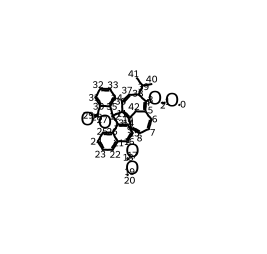 COCO/C1=C2\C=CC=C/C(=C(C3(c4ccc(OCOC)c5ccccc45)OC(=O)c4ccccc43)/C=C\C1C(C)C)C2